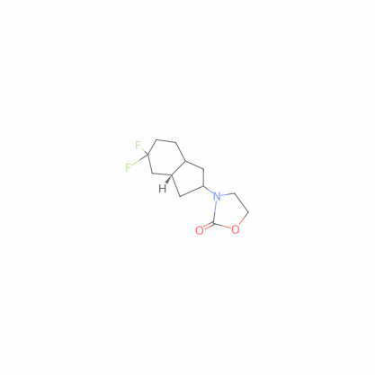 O=C1OCCN1C1CC2CCC(F)(F)C[C@H]2C1